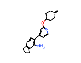 C=C1CCC(Oc2cc(-c3ccc4c(c3N)CCC4)ccn2)CC1